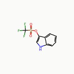 O=S(=O)(Oc1c[nH]c2ccccc12)C(F)(F)F